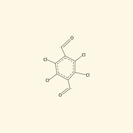 O=[C]c1c(Cl)c(Cl)c([C]=O)c(Cl)c1Cl